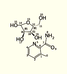 Cc1cccnc1C(N)=O.OC[C@H]1OC(O)[C@H](O)[C@@H]1O